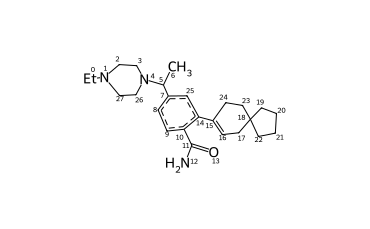 CCN1CCN(C(C)c2ccc(C(N)=O)c(C3=CCC4(CCCC4)CC3)c2)CC1